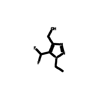 CCn1nnc(CO)c1C(F)F